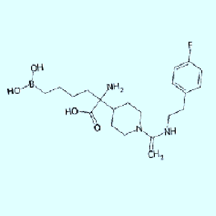 C=C(NCCc1ccc(F)cc1)N1CCC(C(N)(CCCCB(O)O)C(=O)O)CC1